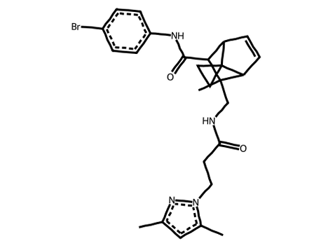 Cc1cc(C)n(CCC(=O)NCC2(C)C(C(=O)Nc3ccc(Br)cc3)C3C=CC2C32CC2)n1